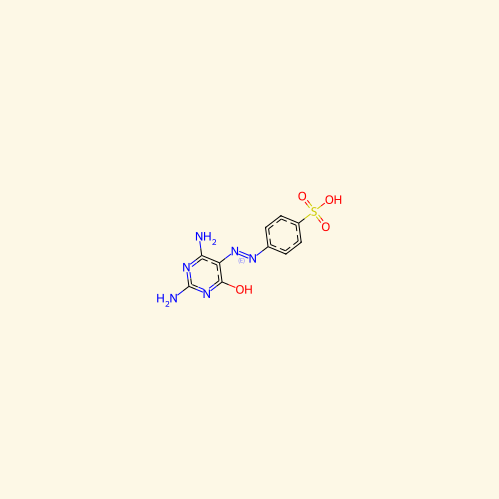 Nc1nc(N)c(/N=N/c2ccc(S(=O)(=O)O)cc2)c(O)n1